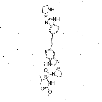 COC(=O)N[C@H](C(=O)N1CCC[C@H]1c1nc2cc(C#Cc3ccc4[nH]c([C@@H]5CCCN5)nc4c3)ccc2[nH]1)C(C)C